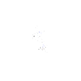 CC1(C)c2ccccc2-c2cccc(N(c3ccccc3)c3ccc4cc5c6c(cccc6c4c3)C(C)(C)c3cc(N(c4ccccc4)c4cc(-c6ccccc6)cc(-c6ccccc6)c4F)ccc3-5)c21